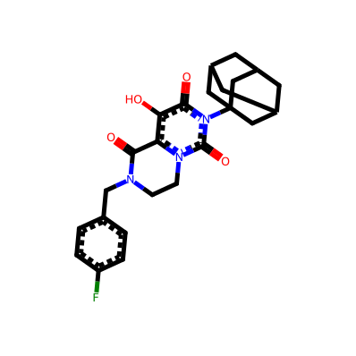 O=C1c2c(O)c(=O)n(C34CC5CC(CC(C5)C3)C4)c(=O)n2CCN1Cc1ccc(F)cc1